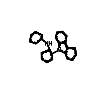 c1ccc(Nc2ccccc2-n2c3ccccc3c3ccccc32)cc1